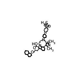 CCS(=O)(=O)N1CCN(c2ccc(N3CCCn4c(C(=O)O)c(CCCOc5cccc6ccccc56)c5cccc(c54)-c4c(C)nn(C)c4C3)cc2)CC1